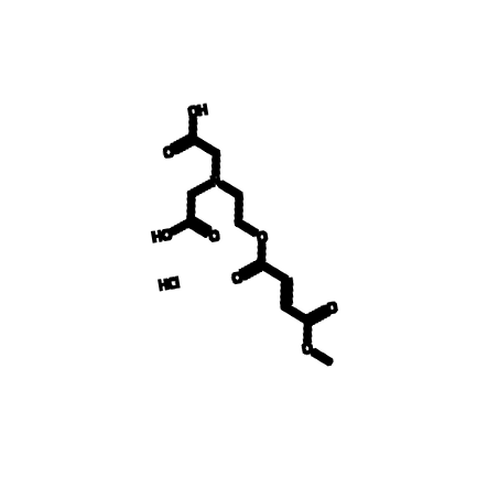 COC(=O)C=CC(=O)OCCN(CC(=O)O)CC(=O)O.Cl